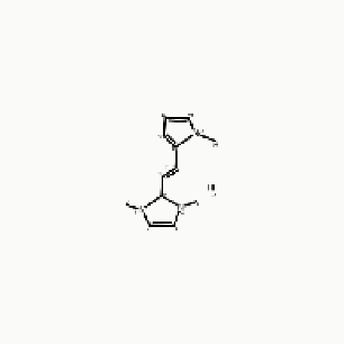 CN1C=CN(C)C1/C=C/c1cccn1C.I